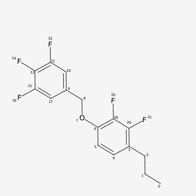 CCCc1ccc(OCc2cc(F)c(F)c(F)c2)c(F)c1F